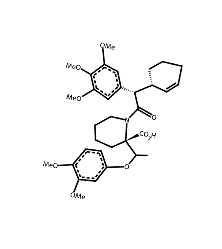 COc1ccc(OC(C)[C@]2(C(=O)O)CCCCN2C(=O)[C@H](c2cc(OC)c(OC)c(OC)c2)[C@H]2C=CCCC2)cc1OC